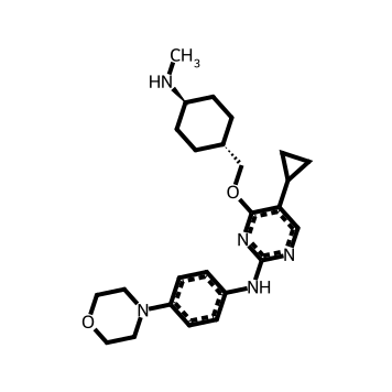 CN[C@H]1CC[C@H](COc2nc(Nc3ccc(N4CCOCC4)cc3)ncc2C2CC2)CC1